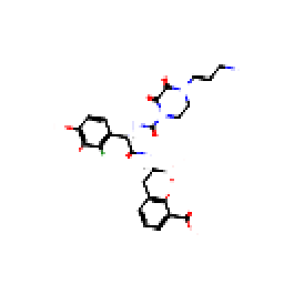 NCCCN1CCN(C(=O)N[C@@H](C(=O)N[C@H]2Cc3cccc(C(=O)O)c3OB2O)c2ccc(O)c(O)c2Cl)C(=O)C1=O